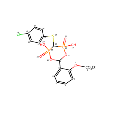 CCOC(=O)Oc1ccccc1C1OP(=O)(O)C(Sc2ccc(Cl)cc2)P(=O)(O)O1